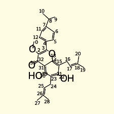 COc1c(-c2ccc(C(C)C)cc2)oc2c(CC=C(C)C)c(O)c(CC=C(C)C)c(O)c2c1=O